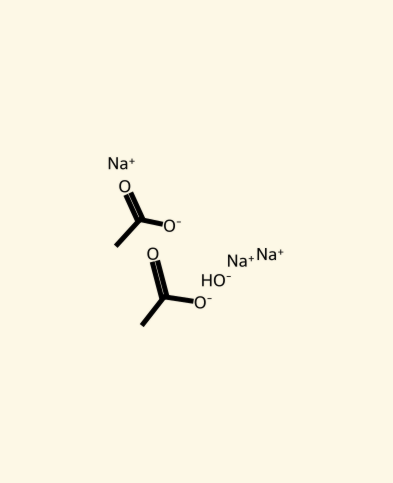 CC(=O)[O-].CC(=O)[O-].[Na+].[Na+].[Na+].[OH-]